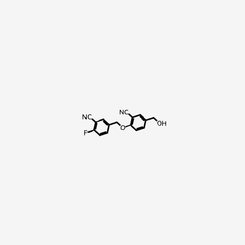 N#Cc1cc(COc2ccc(CO)cc2C#N)ccc1F